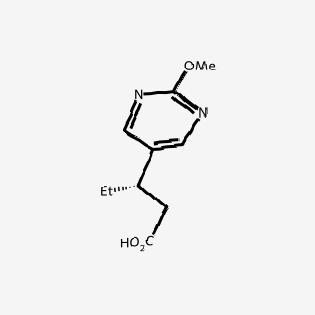 CC[C@@H](CC(=O)O)c1cnc(OC)nc1